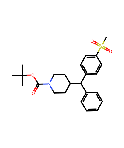 CC(C)(C)OC(=O)N1CCC(C(c2ccccc2)c2ccc(S(C)(=O)=O)cc2)CC1